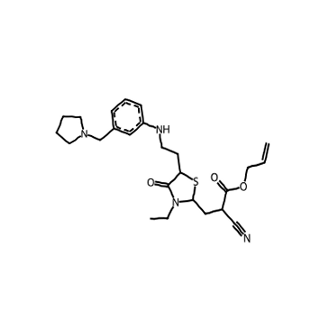 C=CCOC(=O)C(C#N)CC1SC(CCNc2cccc(CN3CCCC3)c2)C(=O)N1CC